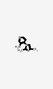 Cc1nc(C(F)(F)F)cn1-c1ccncc1N